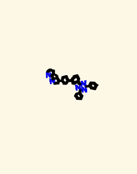 c1ccc(-c2nc(-c3ccccc3)nc(-c3cccc(-c4ccc(-c5ccnc6c5Cc5cccnc5-6)cc4)c3)n2)cc1